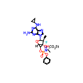 C#C[C@]1(F)[C@H](n2cnc3c(NC4CC4)nc(N)nc32)O[C@@H]2C(O[P@@](=O)(N[C@@H](C)C(=O)OCC)Oc3ccccc3)[C@@]21O